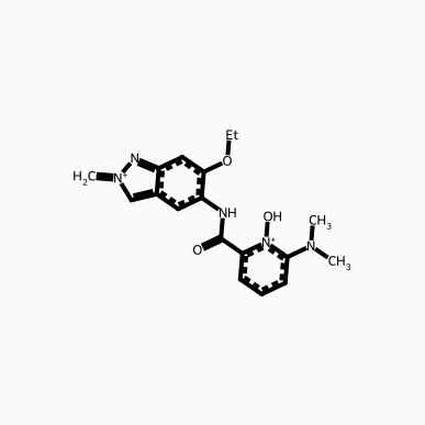 C=[N+]1C=c2cc(NC(=O)c3cccc(N(C)C)[n+]3O)c(OCC)cc2=N1